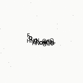 C[C@H](CC(=N)S(=O)(=O)c1ccc(Nc2nccc(Nc3ccc(F)cc3)n2)cc1)NC(=O)OC(C)(C)C